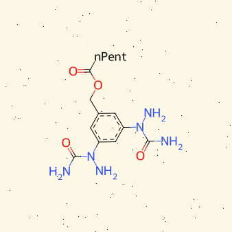 CCCCCC(=O)OCc1cc(N(N)C(N)=O)cc(N(N)C(N)=O)c1